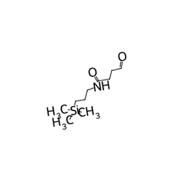 C[Si](C)(C)CCCNC(=O)CCC=O